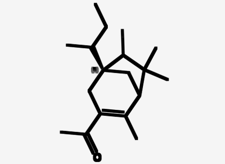 CCC(C)[C@]12CC(C(C)=O)=C(C)C(C1)C(C)(C)C2C